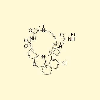 CCNC(=O)O[C@H]1C=CCN(C)C(C)(C)C(=O)NS(=O)(=O)c2ccc3c(c2)N(C[C@@H]2CC[C@H]21)C[C@@]1(CCCc2cc(Cl)ccc21)CO3